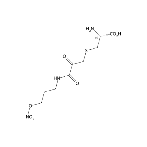 N[C@@H](CSCC(=O)C(=O)NCCCO[N+](=O)[O-])C(=O)O